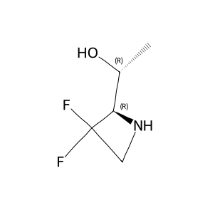 C[C@@H](O)[C@H]1NCC1(F)F